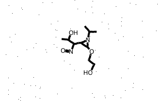 CC(O)C(N=O)C1C(OCCO)N1C(C)C